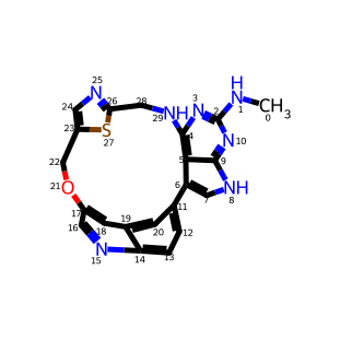 CNc1nc2c3c(c[nH]c3n1)-c1ccc3ncc(cc3c1)OCc1cnc(s1)CN2